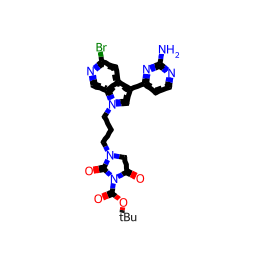 CC(C)(C)OC(=O)N1C(=O)CN(CCCn2cc(-c3ccnc(N)n3)c3cc(Br)ncc32)C1=O